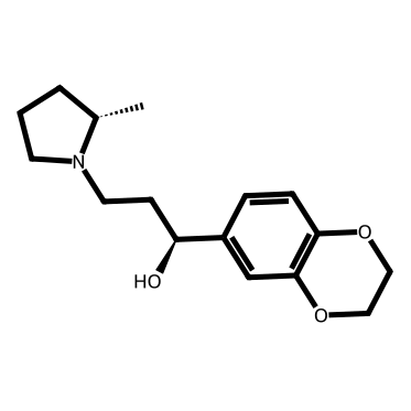 C[C@H]1CCCN1CC[C@H](O)c1ccc2c(c1)OCCO2